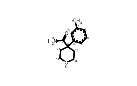 Cc1cccc(C2(C(N)=O)CCOCC2)c1